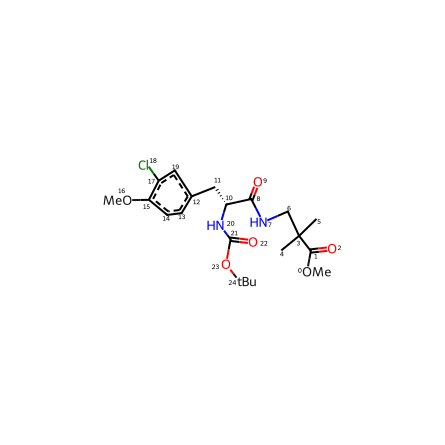 COC(=O)C(C)(C)CNC(=O)[C@@H](Cc1ccc(OC)c(Cl)c1)NC(=O)OC(C)(C)C